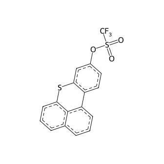 O=S(=O)(Oc1ccc2c(c1)Sc1cccc3cccc-2c13)C(F)(F)F